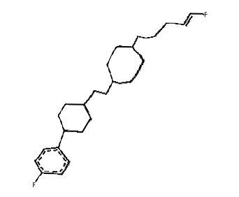 FC=CCCCC1CCC(CCC2CCC(c3ccc(F)cc3)CC2)CC1